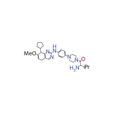 COC1=CCc2cnc(Nc3ccc(N4CCN(C(=O)C(N)C(C)C)CC4)cc3)nc2C1C1CCCC1